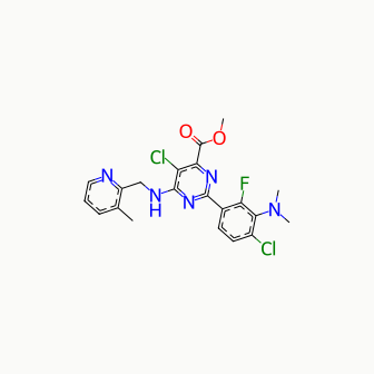 COC(=O)c1nc(-c2ccc(Cl)c(N(C)C)c2F)nc(NCc2ncccc2C)c1Cl